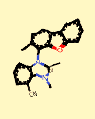 Cc1ccc2c(oc3ccccc32)c1N1c2cccc(C#N)c2N(C)[C@@H]1C